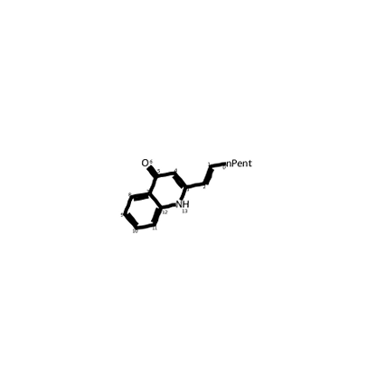 CCCCC/C=C/c1cc(=O)c2ccccc2[nH]1